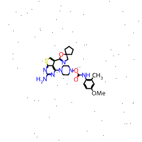 COc1ccc(NC(=O)ON2CCN(c3nc(N)nc4scc(C5=NCC6(CCCC6)O5)c34)CC2)c(C)c1